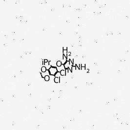 CC(C)c1c(Oc2cnc(N)nc2N)c(Cl)c(Cl)c2c1OCCO2